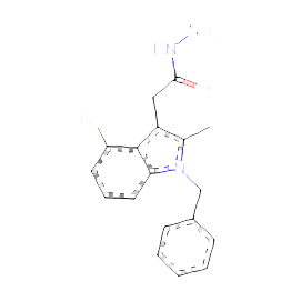 Cc1c(CC(=O)NN)c2c(Br)cccc2n1Cc1ccccc1